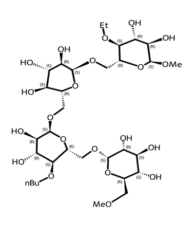 CCCCO[C@H]1[C@H](O)[C@@H](O)[C@@H](OC[C@H]2O[C@H](OC[C@H]3O[C@H](OC)[C@H](O)[C@@H](O)[C@@H]3OCC)[C@H](O)[C@@H](O)[C@@H]2O)O[C@@H]1CO[C@H]1O[C@H](COC)[C@@H](O)[C@H](O)[C@H]1O